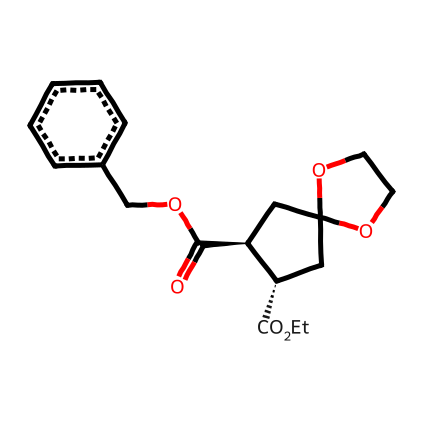 CCOC(=O)[C@H]1CC2(C[C@@H]1C(=O)OCc1ccccc1)OCCO2